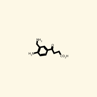 NCc1cc(C(=O)CCC(=O)O)ccc1N